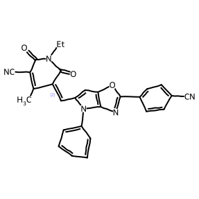 CCN1C(=O)C(C#N)=C(C)/C(=C/c2cc3oc(-c4ccc(C#N)cc4)nc3n2-c2ccccc2)C1=O